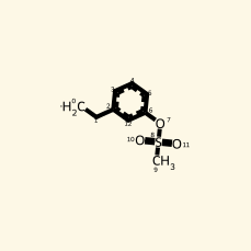 [CH2]Cc1cccc(OS(C)(=O)=O)c1